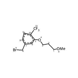 COCCCOc1cc(CBr)ccc1C(F)(F)F